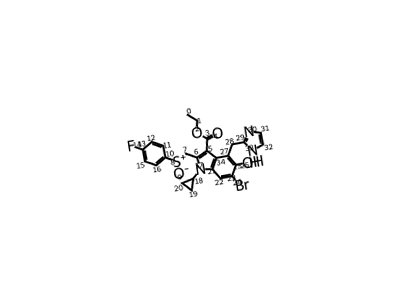 CCOC(=O)c1c(C[S+]([O-])c2ccc(F)cc2)n(C2CC2)c2cc(Br)c(O)c(Cc3ncc[nH]3)c12